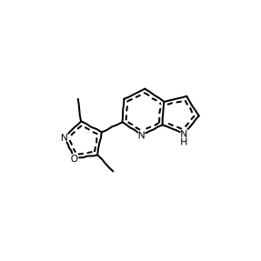 Cc1noc(C)c1-c1ccc2cc[nH]c2n1